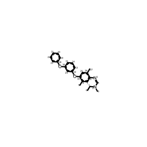 CCN(C)/C=N\c1cc(C)c(Oc2cccc(Oc3ccccc3)c2)cc1C